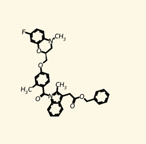 Cc1cc(OC[C@@H]2CN(C)c3ccc(F)cc3O2)ccc1C(=O)n1c(C)c(CC(=O)OCc2ccccc2)c2ccccc21